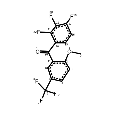 COc1ccc(C(F)(F)F)cc1C(=O)c1ccc(F)c(F)c1F